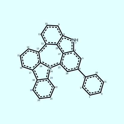 c1ccc(-c2cc3[nH]c4cccc5c6cccc7c8ccccc8n(c(c2)c3c45)c67)cc1